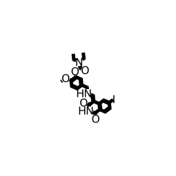 CCN(CC)C(=O)Oc1cc(CNC=C2C(=O)NC(=O)c3ccc(I)cc32)ccc1OC